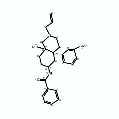 C=CCN1CC[C@@]2(c3cccc(OC)c3)C[C@@H](NC(=O)c3ccccc3)CC[C@]2(OC(C)=O)C1